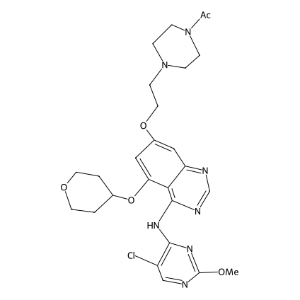 COc1ncc(Cl)c(Nc2ncnc3cc(OCCN4CCN(C(C)=O)CC4)cc(OC4CCOCC4)c23)n1